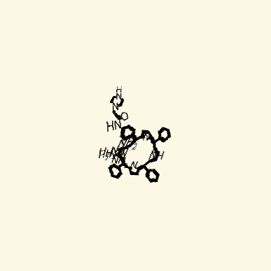 Nn1c2c(-c3ccccc3)c3nc(c(-c4ccccc4)c4ccc([nH]4)c(-c4ccccc4)c4nc(c(-c5ccc(NC(=O)CN6CCNCC6)cc5)c1C(N)(N)C2(N)N)C=C4)C=C3